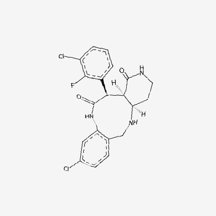 O=C1NCC[C@H]2NCc3ccc(Cl)cc3NC(=O)[C@@H](c3cccc(Cl)c3F)[C@@H]12